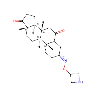 C[C@]12CC/C(=N\OC3CNC3)CC1C(=O)C[C@@H]1[C@@H]2CC[C@]2(C)C(=O)CC[C@@H]12